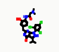 CC(C)c1[nH]n(-c2c(Cl)cc(Cl)cc2Cl)c2nc(Cc3ccc(NC(=O)CN(C)C)c(O)c3)nc(=O)c1-2